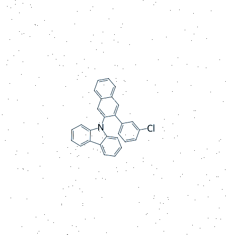 Clc1cccc(-c2cc3ccccc3cc2-n2c3ccccc3c3ccccc32)c1